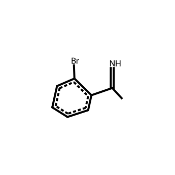 CC(=N)c1ccccc1Br